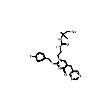 CC(C)(C)CC(C)(C)NC(=O)NCCn1cc(Cc2cncnc2)c(=O)nc1SCc1ccc(F)cc1